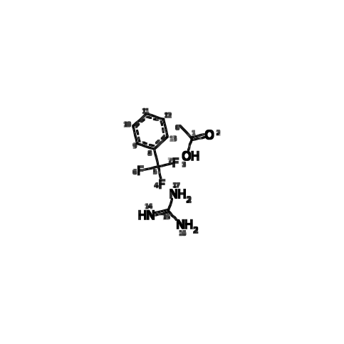 CC(=O)O.FC(F)(F)c1ccccc1.N=C(N)N